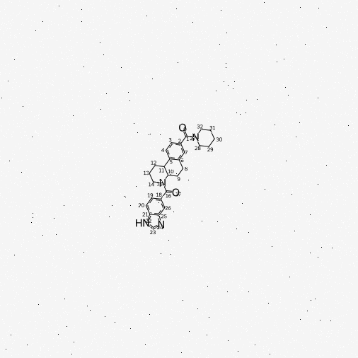 O=C(c1ccc2c(c1)CCC1C2CCCN1C(=O)c1ccc2[nH]cnc2c1)N1CCCCC1